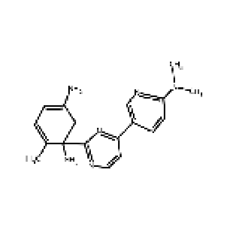 CC1=CC=C(N)CC1(N)c1nccc(-c2ccc(N(C)C)nc2)n1